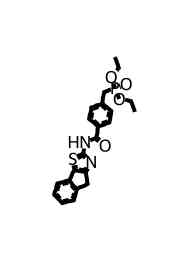 CCOP(=O)(Cc1ccc(C(=O)Nc2nc3c(s2)-c2ccccc2C3)cc1)OCC